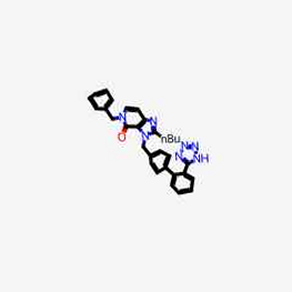 CCCCc1nc2ccn(Cc3ccccc3)c(=O)c2n1Cc1ccc(-c2ccccc2-c2nnn[nH]2)cc1